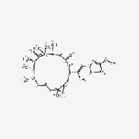 COC1=NC(/C=C(\C)[C@@H]2CC3OC3(C)C/C=C/[C@H](C)[C@H](O)[C@@H](C)C(=O)C(C)(C)[C@@H](O)CC(=O)O2)CO1